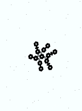 CC(C)(c1ccccc1)c1ccc2c(c1)N(c1ccc(-c3ccccc3)cc1)c1cc(-n3c4ccc(C(C)(C)c5ccccc5)cc4c4cc(C(C)(C)c5ccccc5)ccc43)cc3c1B2c1cc(-c2ccccc2)ccc1N3c1ccc(-c2ccccc2)cc1